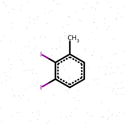 Cc1cccc(I)c1I